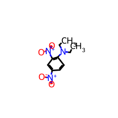 CCN(CC)c1ccc([N+](=O)[O-])cc1[N+](=O)[O-]